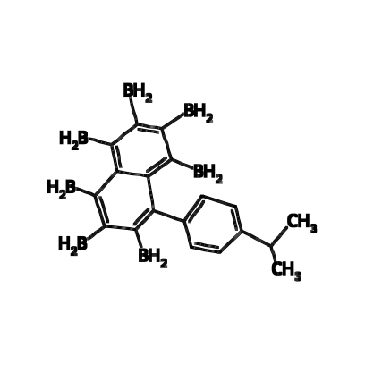 Bc1c(B)c(B)c2c(-c3ccc(C(C)C)cc3)c(B)c(B)c(B)c2c1B